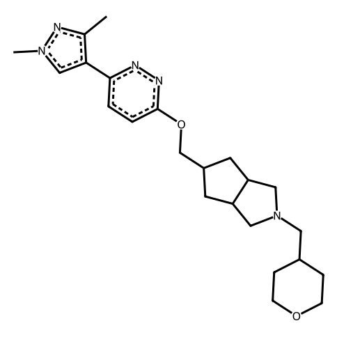 Cc1nn(C)cc1-c1ccc(OCC2CC3CN(CC4CCOCC4)CC3C2)nn1